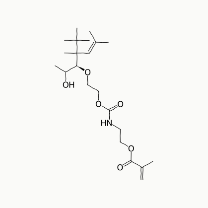 C=C(C)C(=O)OCCNC(=O)OCCO[C@@H](C(C)O)C(C)(C=C(C)C)C(C)(C)C